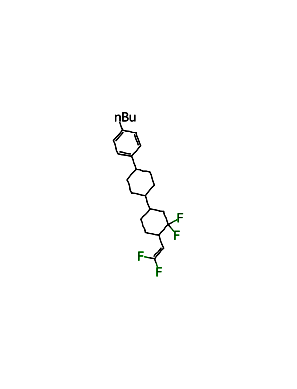 CCCCc1ccc(C2CCC(C3CCC(C=C(F)F)C(F)(F)C3)CC2)cc1